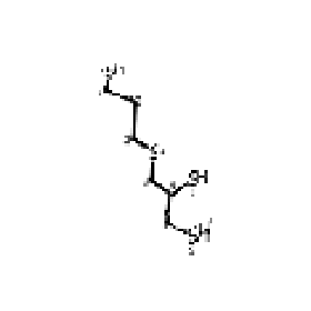 SCCCSCC(S)CS